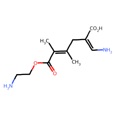 C/C(CC(=CN)C(=O)O)=C(/C)C(=O)OCCN